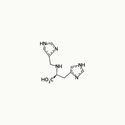 O=C(O)[C@H](Cc1c[nH]cn1)NCc1c[nH]cn1